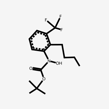 CCCCc1c(N(O)C(=O)OC(C)(C)C)cccc1C(F)(F)F